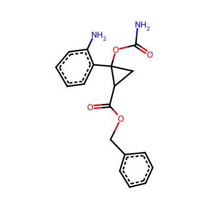 NC(=O)OC1(c2ccccc2N)CC1C(=O)OCc1ccccc1